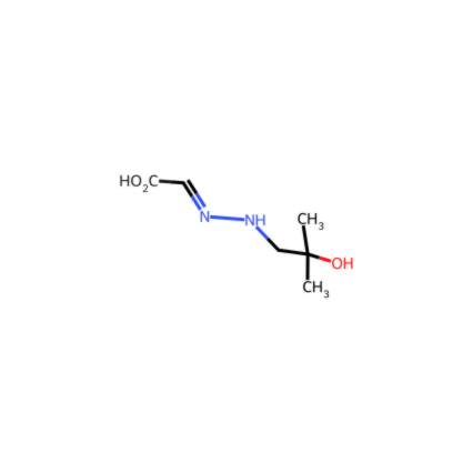 CC(C)(O)CN/N=C/C(=O)O